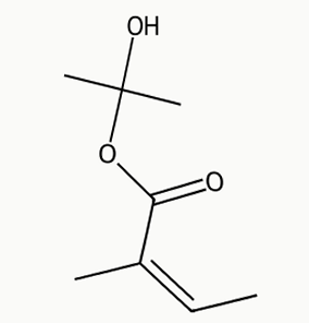 CC=C(C)C(=O)OC(C)(C)O